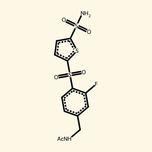 CC(=O)NCc1ccc(S(=O)(=O)c2ccc(S(N)(=O)=O)s2)c(F)c1